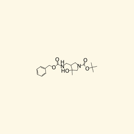 CC(C)(C)OC(=O)N1CC(CNC(=O)OCc2ccccc2)C(C)(O)C1